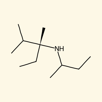 CCC(C)N[C@](C)(CC)C(C)C